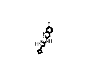 O=C(Cc1ccc(F)cc1F)Nc1cc(C2CCC2)[nH]n1